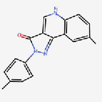 Cc1ccc(-n2nc3c4cc(C)ccc4[nH]cc-3c2=O)cc1